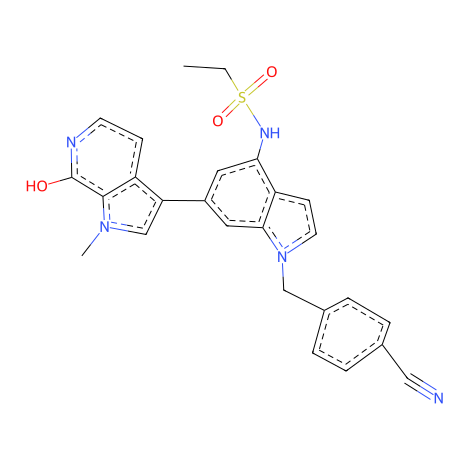 CCS(=O)(=O)Nc1cc(-c2cn(C)c3c(O)nccc23)cc2c1ccn2Cc1ccc(C#N)cc1